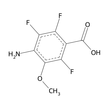 COc1c(N)c(F)c(F)c(C(=O)O)c1F